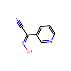 N#C/C(=N/O)c1cccnc1